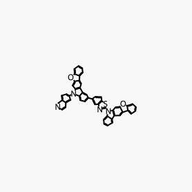 c1ccc2c(c1)oc1cc3c(cc12)c1cc(-c2ccc4sc(-n5c6ccccc6c6cc7c(cc65)oc5ccccc57)nc4c2)ccc1n3-c1ccc2cnccc2c1